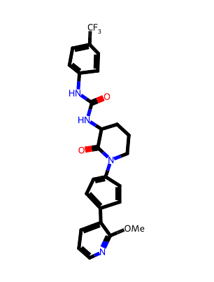 COc1ncccc1-c1ccc(N2CCCC(NC(=O)Nc3ccc(C(F)(F)F)cc3)C2=O)cc1